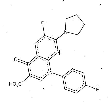 O=C(O)c1cn(-c2ccc(F)cc2)c2nc(N3CCCC3)c(F)cc2c1=O